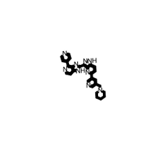 c1cc(-c2nccc3[nH]c(-c4n[nH]c5ccc(-c6cncc(CN7CCCCC7)c6)nc45)nc23)ccn1